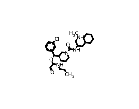 CCCNC(C=O)O[C@@H](c1cccc(Cl)c1)[C@@H]1CCCN(C(=O)NC(CNC)CC2CCCCC2)C1